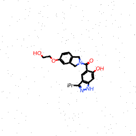 CC(C)c1n[nH]c2cc(O)c(C(=O)N3Cc4ccc(OCCO)cc4C3)cc12